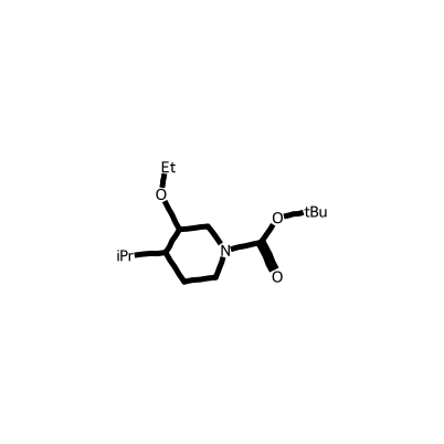 CCOC1CN(C(=O)OC(C)(C)C)CCC1C(C)C